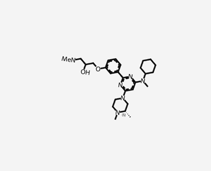 CNCC(O)COc1cccc(-c2nc(N3CCN(C)[C@@H](C)C3)cc(N(C)C3CCCCC3)n2)c1